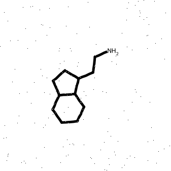 NCCC1CCC2CCCCC12